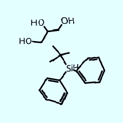 CC(C)(C)[SiH](c1ccccc1)c1ccccc1.OCC(O)CO